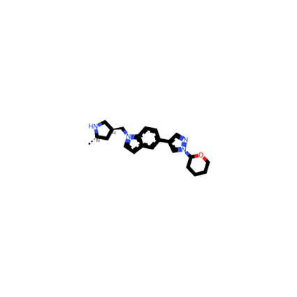 C[C@H]1C[C@H](Cn2ccc3cc(-c4cnn(C5CCCCO5)c4)ccc32)CN1